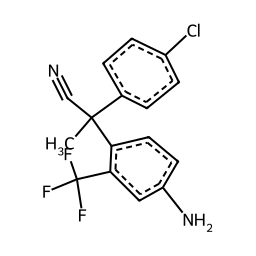 CC(C#N)(c1ccc(Cl)cc1)c1ccc(N)cc1C(F)(F)F